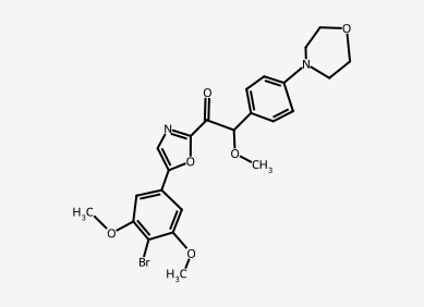 COc1cc(-c2cnc(C(=O)C(OC)c3ccc(N4CCOCC4)cc3)o2)cc(OC)c1Br